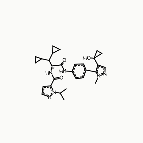 CC(C)n1nccc1C(=O)N[C@H](C(=O)Nc1ccc(-c2c(C3(O)CC3)cnn2C)cc1)C(C1CC1)C1CC1